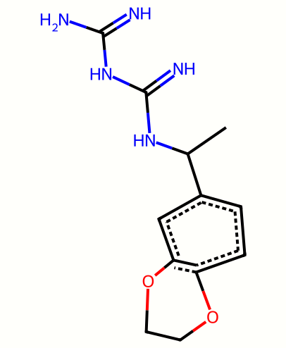 CC(NC(=N)NC(=N)N)c1ccc2c(c1)OCCO2